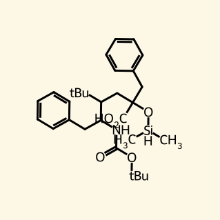 C[SiH](C)OC(Cc1ccccc1)(CC(C(Cc1ccccc1)NC(=O)OC(C)(C)C)C(C)(C)C)C(=O)O